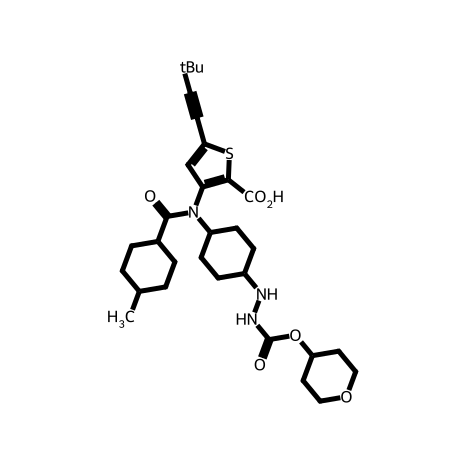 CC1CCC(C(=O)N(c2cc(C#CC(C)(C)C)sc2C(=O)O)C2CCC(NNC(=O)OC3CCOCC3)CC2)CC1